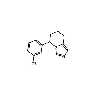 N#Cc1cccc(C2CCCc3cncn32)c1